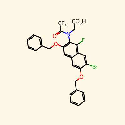 O=C(O)CN(C(=O)C(F)(F)F)c1c(OCc2ccccc2)cc2cc(OCc3ccccc3)c(Br)cc2c1F